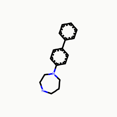 c1ccc(-c2ccc(N3CCC[N]CC3)cc2)cc1